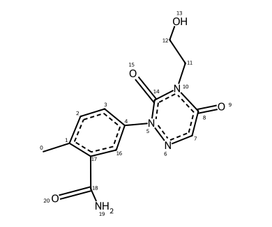 Cc1ccc(-n2ncc(=O)n(CCO)c2=O)cc1C(N)=O